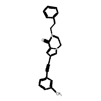 Cc1cccc(C#Cc2cc3n(c2)CCN(CCc2ccccc2)C3=O)c1